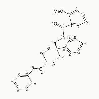 COc1ccccc1C(=O)NC[C@]1(c2ccccc2)CC[C@@H](OCc2ccccc2)CC1